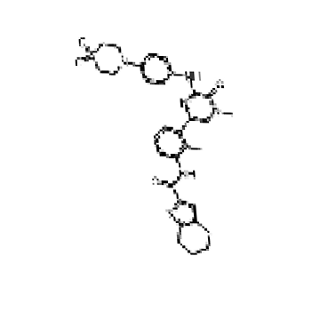 Cc1c(NC(=O)c2cc3c(s2)CCCC3)cccc1-c1cn(C)c(=O)c(Nc2ccc(N3CCS(=O)(=O)CC3)cc2)n1